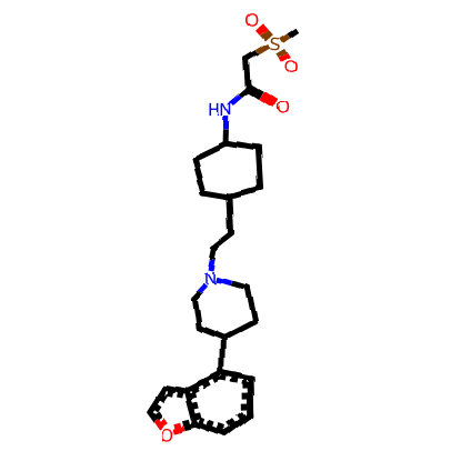 CS(=O)(=O)CC(=O)NC1CCC(CCN2CCC(c3cccc4occc34)CC2)CC1